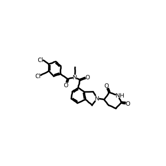 CN(C(=O)c1ccc(Cl)c(Cl)c1)C(=O)c1cccc2c1CN(C1CCC(=O)NC1=O)C2